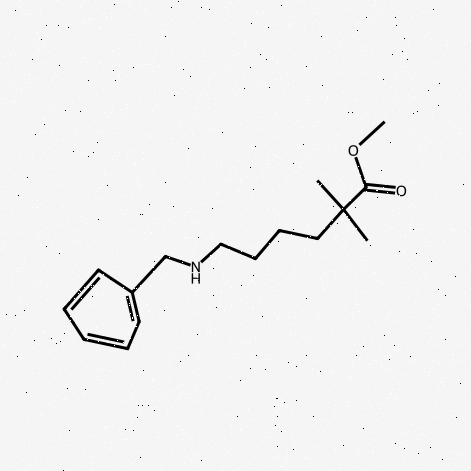 COC(=O)C(C)(C)CCCCNCc1ccccc1